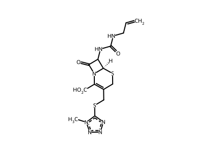 C=CCNC(=O)NC1C(=O)N2C(C(=O)O)=C(CSc3nnnn3C)CS[C@H]12